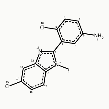 Cn1c(-c2cc(N)ccc2Cl)nc2cc(Cl)ccc21